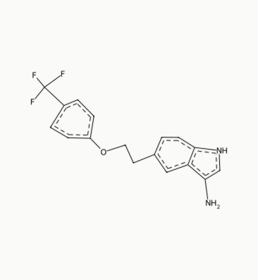 Nc1c[nH]c2ccc(CCOc3ccc(C(F)(F)F)cc3)cc12